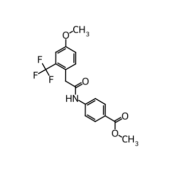 COC(=O)c1ccc(NC(=O)Cc2ccc(OC)cc2C(F)(F)F)cc1